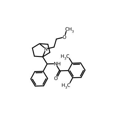 COCCN1C2CCC1(C(NC(=O)c1c(C)cccc1C)c1ccccc1)CC2